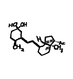 C=C1CCC(O)(O)CC1=CC=C1CCC[C@]2(C)[C@@H](C(C)=O)CC[C@@H]12